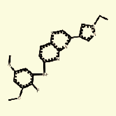 CCn1cc(-c2cnc3ccc(Nc4cc(OC)cc(OC)c4F)nc3n2)cn1